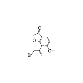 C=C(CBr)c1c(OC)ccc2c1OCC2=O